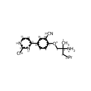 CC(C)CC(C)(N)COc1ccc(-c2ccnc(Cl)n2)cc1C#N